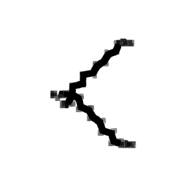 CCCCCCCCCCCCCCCCCC[C]([AlH2])(CCCCCCCCCCCCCCCCCC)C(C)C